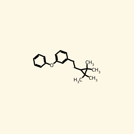 CC1(C)C([CH]Cc2cccc(Oc3ccccc3)c2)C1(C)C